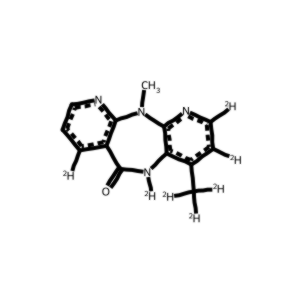 [2H]c1ccnc2c1C(=O)N([2H])c1c(nc([2H])c([2H])c1C([2H])([2H])[2H])N2C